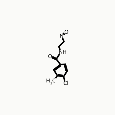 Cc1cc(C(=O)NCCN=O)ccc1Cl